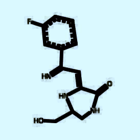 N=C(/C=C1\NC(CO)CNC1=O)c1cccc(F)c1